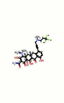 CN(CC#Cc1ccc(O)c2c1C[C@H]1C[C@H]3[C@H](N(C)C)C(O)=C(C(N)=O)C(=O)[C@@]3(O)C(O)=C1C2=O)CCC(F)(F)F